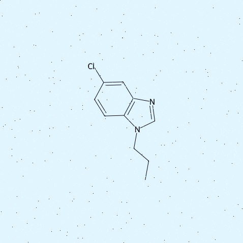 CCCn1cnc2cc(Cl)ccc21